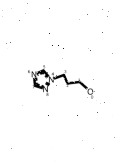 [O]CCCn1cncn1